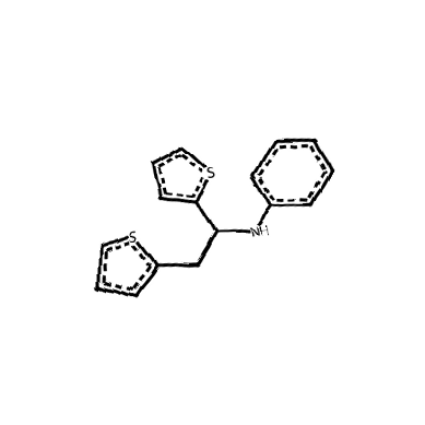 c1ccc(NC(Cc2cccs2)c2cccs2)cc1